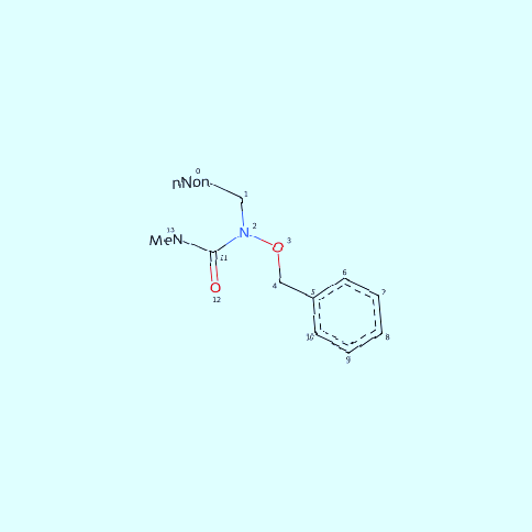 CCCCCCCCCCN(OCc1ccccc1)C(=O)NC